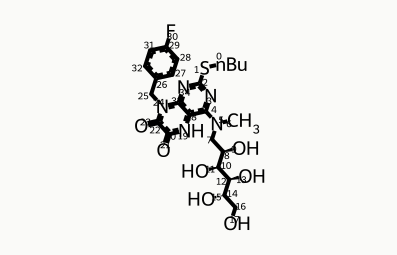 CCCCSc1nc(N(C)C[C@@H](O)[C@H](O)[C@@H](O)[C@@H](O)CO)c2[nH]c(=O)c(=O)n(Cc3ccc(F)cc3)c2n1